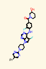 CC(C)c1cnc(N2CCC(n3cc(F)c4c(Nc5ccc(C(=O)N6CCCC(O)C6)cc5F)ncnc43)CC2)nc1